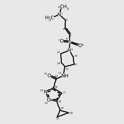 CN(C)C/C=C/S(=O)(=O)N1CCC(NC(=O)c2cc(C3CC3)on2)CC1